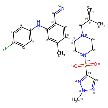 Cc1cc(Nc2ccc(F)cc2)c(C=N)cc1[C@H]1CN(S(=O)(=O)c2cnn(C)n2)CCN1C[C@H](C)C(F)(F)F